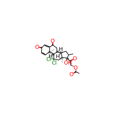 CC(=O)OCC(=O)[C@@]1(O)C(C)C[C@H]2[C@@H]3CC(=O)C4=CC(=O)C=C[C@]4(C)[C@H]3C(Cl)(Cl)C[C@@]21C